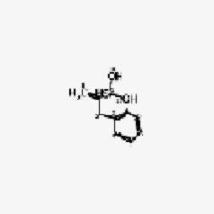 C=C(Cc1ccccc1)[SiH](O)O